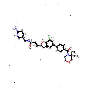 CC1(C)COCCN1C(=O)c1ccc(-c2cc(Cl)c3c(c2)CC(/C=C/C(=O)NCc2ccc(N)nc2)O3)cc1